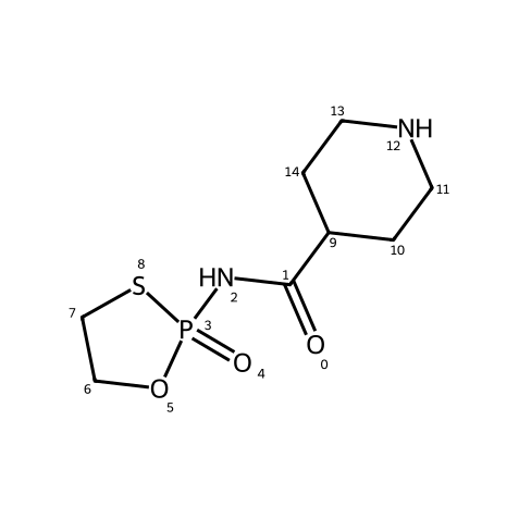 O=C(NP1(=O)OCCS1)C1CCNCC1